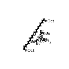 CCCCC(CC)COP(=O)(O)OCC(CC)CCCC.CCCCCCCC/C=C\CCCCCCCCOCCCCCCCC/C=C\CCCCCCCC.CCO.N